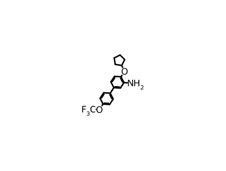 Nc1cc(-c2ccc(OC(F)(F)F)cc2)ccc1OC1CCCC1